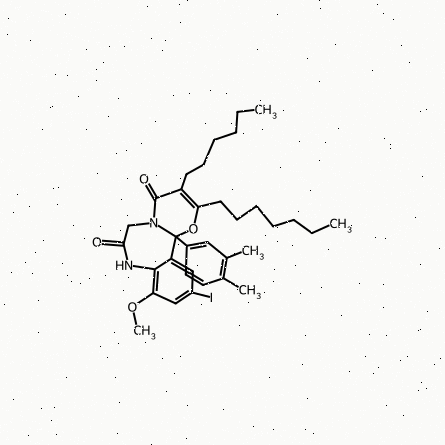 CCCCCCCC1=C(CCCCCC)C(=O)N2CC(=O)Nc3c(OC)cc(I)cc3C2(c2ccc(C)c(C)c2)O1